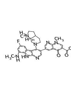 CNc1cc(F)cc2c1[nH]c1ncc(-c3cnc4c(c3)c(=O)c(C(=O)O)cn4C)c(N3CCC4CCN(C)[C@H]4C3)c12